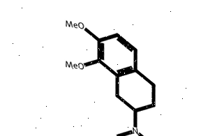 COc1ccc2c(c1OC)CC(N(C)C)CC2